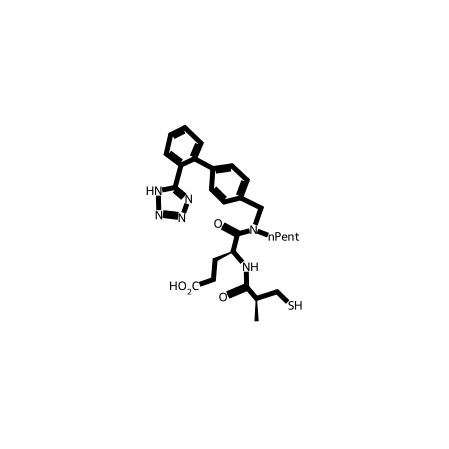 CCCCCN(Cc1ccc(-c2ccccc2-c2nnn[nH]2)cc1)C(=O)[C@H](CCC(=O)O)NC(=O)[C@H](C)CS